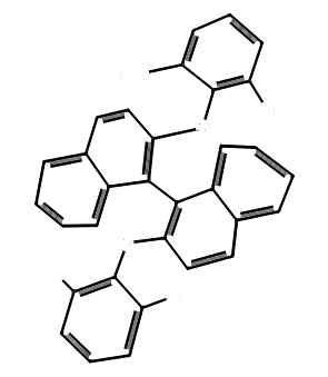 Cc1cccc(C)c1Nc1ccc2ccccc2c1-c1c(Nc2c(C)cccc2C)ccc2ccccc12